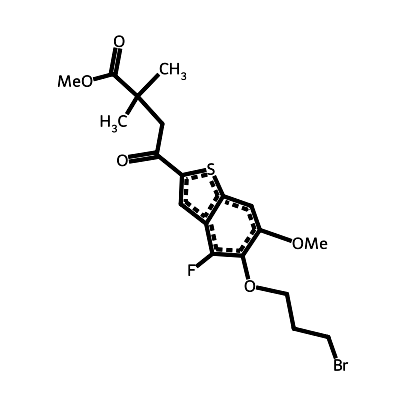 COC(=O)C(C)(C)CC(=O)c1cc2c(F)c(OCCCBr)c(OC)cc2s1